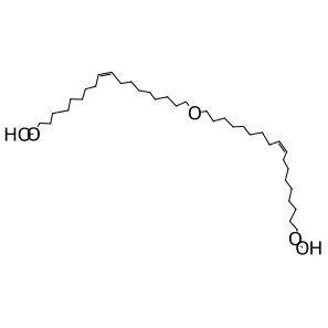 OOCCCCCCCC/C=C\CCCCCCCCOCCCCCCCC/C=C\CCCCCCCCOO